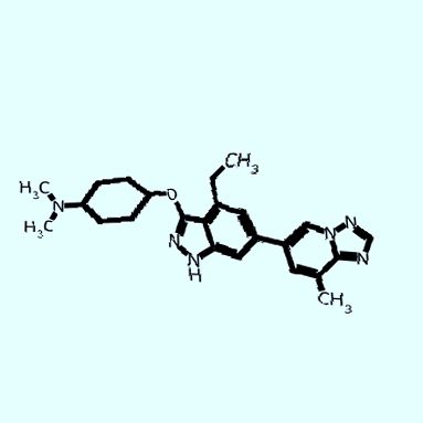 CCc1cc(-c2cc(C)c3ncnn3c2)cc2[nH]nc(OC3CCC(N(C)C)CC3)c12